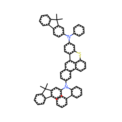 CC1(C)c2ccccc2-c2ccc(N(c3ccccc3)c3ccc4c(c3)Sc3cccc5c3c-4cc3ccc(N(c4ccc6c(c4)C(C)(C)c4ccccc4-6)c4ccccc4-c4ccccc4)cc35)cc21